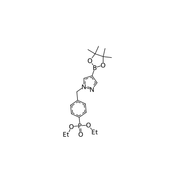 CCOP(=O)(OCC)c1ccc(Cn2cc(B3OC(C)(C)C(C)(C)O3)cn2)cc1